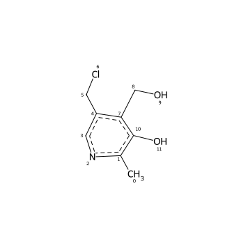 Cc1ncc(CCl)c(CO)c1O